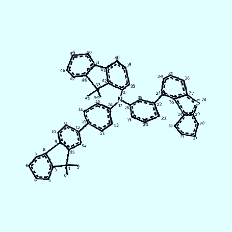 CC1(C)c2ccccc2-c2ccc(-c3ccc(N(c4cccc(-c5cccc6sc7ccccc7c56)c4)c4cccc5c4C(C)(C)c4ccccc4-5)cc3)cc21